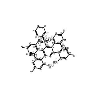 Cc1cc(C(C)(C)C)c(-c2[c]c(-c3c(C(C)(C)C)cc(C)cc3C(C)(C)C)c(-c3c(C(C)(C)C)cc(C)cc3C(C)(C)C)c(S(=O)(=O)c3cc[c]cc3)c2-c2c(C(C)(C)C)cc(C)cc2C(C)(C)C)c(C(C)(C)C)c1